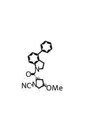 CO[C@@H]1C[C@@H](C(=O)N2CCc3c(-c4ccccc4)cccc32)N(C#N)C1